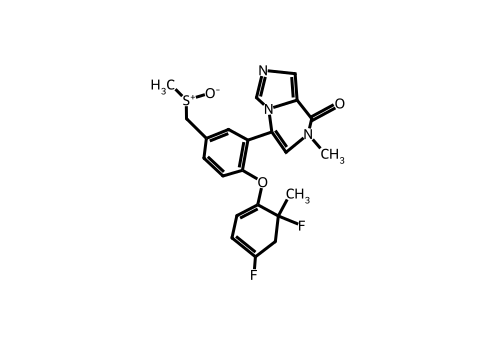 Cn1cc(-c2cc(C[S+](C)[O-])ccc2OC2=CC=C(F)CC2(C)F)n2cncc2c1=O